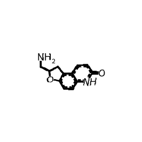 NCC1Cc2c(ccc3[nH]c(=O)ccc23)O1